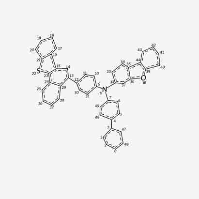 c1ccc(-c2ccc(N(c3ccc(-c4cc5c6ccccc6sc5c5ccccc45)cc3)c3ccc4c(c3)oc3ccccc34)cc2)cc1